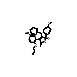 C=CCOc1ccc(OC)cc1C1=C(Cc2ccccc2)C(O)(c2ccc(OC)cc2)OC1=O